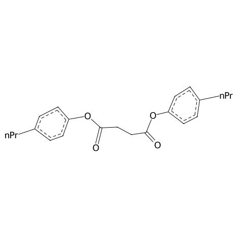 CCCc1ccc(OC(=O)CCC(=O)Oc2ccc(CCC)cc2)cc1